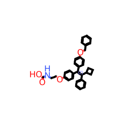 O=C(O)NCCOc1ccc(/C(=C(\c2ccccc2)C2CCC2)c2ccc(OCc3ccccc3)cc2)cc1